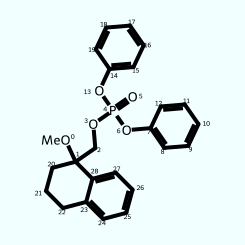 COC1(COP(=O)(Oc2ccccc2)Oc2ccccc2)CCCc2ccccc21